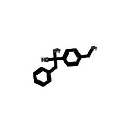 CCCC(O)(Cc1ccccc1)c1ccc(CC(C)C)cc1